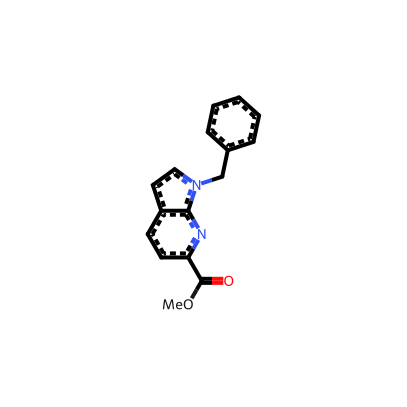 COC(=O)c1ccc2ccn(Cc3ccccc3)c2n1